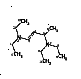 CCN(C=CC(C)N(CC)CC)CC